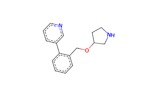 c1cncc(-c2ccccc2COC2CCNC2)c1